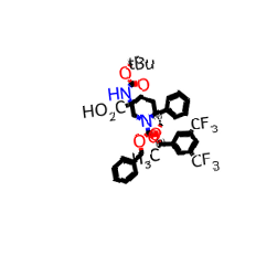 C[C@@H](OC[C@@]1(c2ccccc2)CCC(NC(=O)OC(C)(C)C)(C(=O)O)CN1C(=O)OCc1ccccc1)c1cc(C(F)(F)F)cc(C(F)(F)F)c1